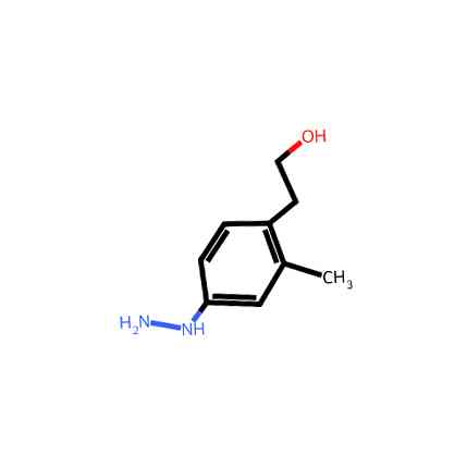 Cc1cc(NN)ccc1CCO